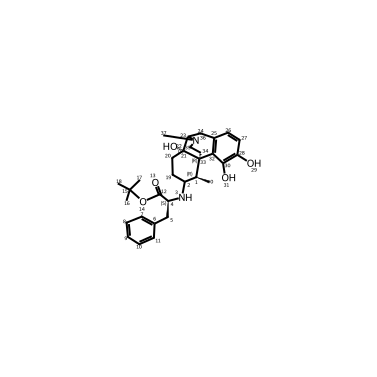 C[C@H]1C(N[C@@H](Cc2ccccc2)C(=O)OC(C)(C)C)CC[C@@]2(O)C3Cc4ccc(O)c(O)c4[C@@]12CCN3C